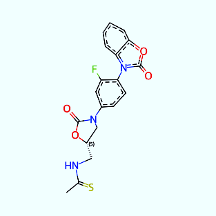 CC(=S)NC[C@H]1CN(c2ccc(-n3c(=O)oc4ccccc43)c(F)c2)C(=O)O1